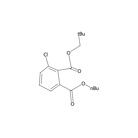 CCCCOC(=O)c1cccc(Cl)c1C(=O)OCC(C)(C)C